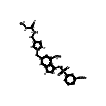 COc1cccc(S(=O)(=O)Nc2noc3cc(Cn4cc(CNC(=O)OC(C)(C)C)cn4)cc(OC)c23)c1